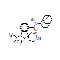 CC(C(=O)O)C1CC2(CCNCC2)c2c(C(=O)N(Br)C3C4CC5CC(C4)CC3C5)cccc21